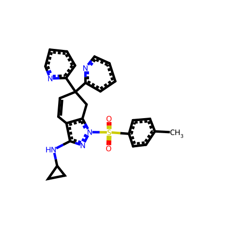 Cc1ccc(S(=O)(=O)n2nc(NC3CC3)c3c2CC(c2ccccn2)(c2ccccn2)C=C3)cc1